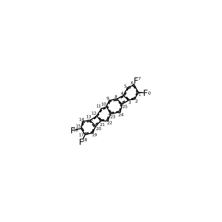 Fc1cc2c(cc1F)c1cc3cc4c5cc(F)c(F)cc5c4cc3cc21